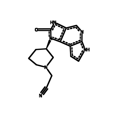 N#CCN1CCC[C@@H](n2c(=O)[nH]c3cnc4[nH]ccc4c32)C1